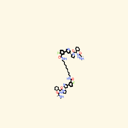 CN[C@@H](C)C(=O)N[C@H](C(=O)N1CCC[C@H]1c1cncc(-c2ccc(F)c(C(=O)NCCCCCCCCCCNC(=O)c3cc(C4=CN=CC([C@@H]5CCCN5C(=O)[C@@H](NC(=O)[C@H](C)NC)C5CCCCC5)C4)ccc3F)c2)c1)C1CCCCC1